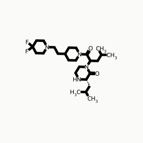 CC(C)CC(C(=O)N1CCC(CCN2CCC(F)(F)CC2)CC1)N1CCN[C@@H](CC(C)C)C1=O